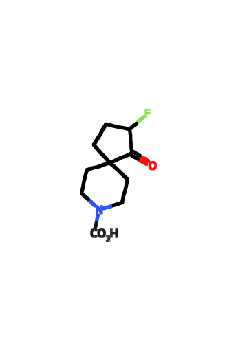 O=C(O)N1CCC2(CCC(F)C2=O)CC1